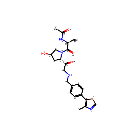 Cc1ncsc1-c1ccc(CNCC(=O)[C@@H]2C[C@@H](O)CN2C(=O)[C@@H](NC(=O)C(C)C)C(C)(C)C)cc1